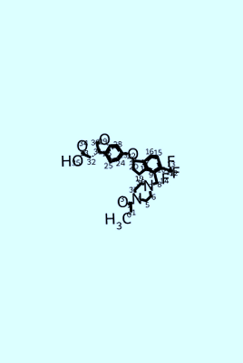 CCC(=O)N1CCN(Cc2c(C(F)(F)F)ccc3c2CC[C@H]3Oc2ccc3c(c2)OC[C@H]3CC(=O)O)CC1